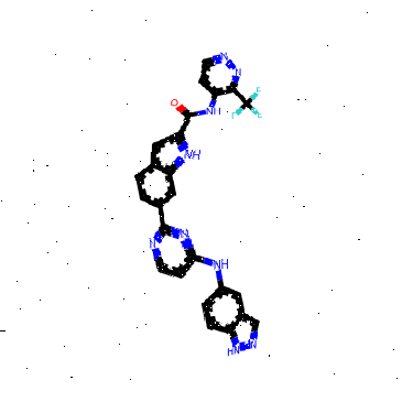 O=C(Nc1ccnnc1C(F)(F)F)c1cc2ccc(-c3nccc(Nc4ccc5[nH]ncc5c4)n3)cc2[nH]1